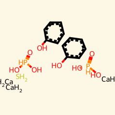 O=[PH](O)O.O=[PH](O)O.Oc1ccccc1.Oc1ccccc1.S.[CaH2].[CaH2].[CaH2]